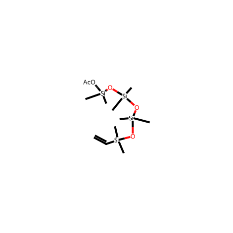 C=C[Si](C)(C)O[Si](C)(C)O[Si](C)(C)O[Si](C)(C)OC(C)=O